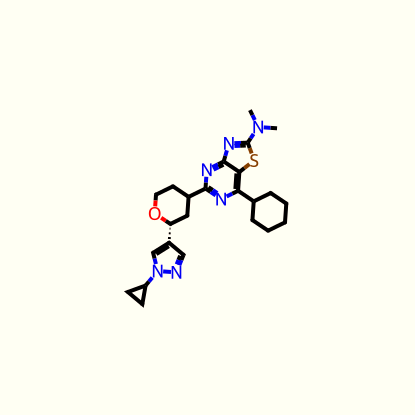 CN(C)c1nc2nc(C3CCO[C@@H](c4cnn(C5CC5)c4)C3)nc(C3CCCCC3)c2s1